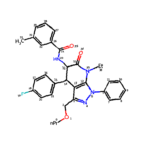 CCCOCc1nn(-c2ccccc2)c2c1C(c1ccc(F)cc1)C(NC(=O)c1cccc(C)c1)C(=O)N2CC